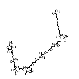 CN[C@@H](CCCCNC(=O)CC[C@H](NC(=O)CC[C@H](NC(=O)COCCOCCNC(=O)COCCOCCNC(=O)CC[C@H](NC(=O)CCCCCCCCCCC(=O)O)C(=O)O)C(=O)O)C(=O)O)C(C)=O